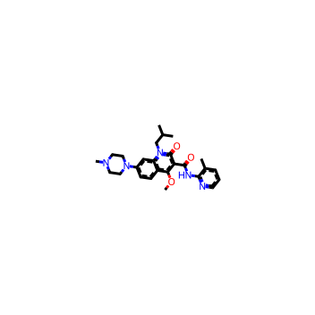 COc1c(C(=O)Nc2ncccc2C)c(=O)n(CC(C)C)c2cc(N3CCN(C)CC3)ccc12